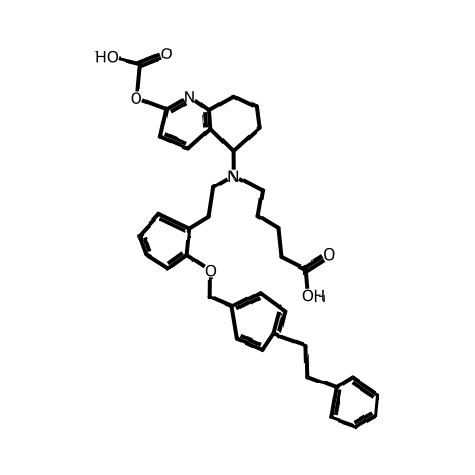 O=C(O)CCCCN(CCc1ccccc1OCc1ccc(CCc2ccccc2)cc1)C1CCCc2nc(OC(=O)O)ccc21